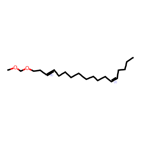 CCCC/C=C\CCCCCCCC/C=C/CCOCOC